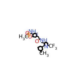 Cc1cccc(-c2nc(C(F)(F)F)ccc2CNC(=O)Cc2ccc(C(N)S(C)(=O)=O)cc2)c1